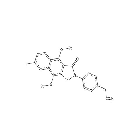 CCOc1c2c(c(OCC)c3ccc(F)cc13)C(=O)N(c1ccc(CC(=O)O)cc1)C2